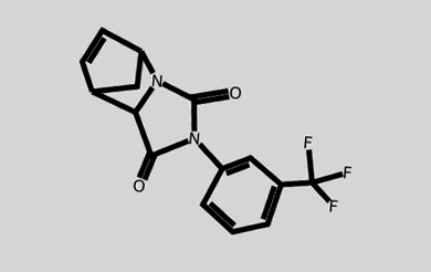 O=C1C2C3C=CC(C3)N2C(=O)N1c1cccc(C(F)(F)F)c1